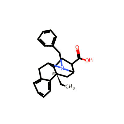 CC[C@]12CC3C(C(=O)O)CC1C(Cc1ccccc12)N3Cc1ccccc1